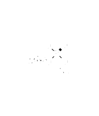 O=P([O-])([O-])[O-].[Mn+2].[Na+].[Na+]